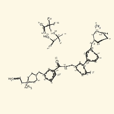 C=CC[N+]1(C)CCN(Cc2cccc(C(=O)NCc3ccc(F)c(-c4cccc(CN5CCN[C@@H](C)C5)c4)c3)c2)CC1.O=C(O)C(F)(F)F.O=C([O-])C(F)(F)F